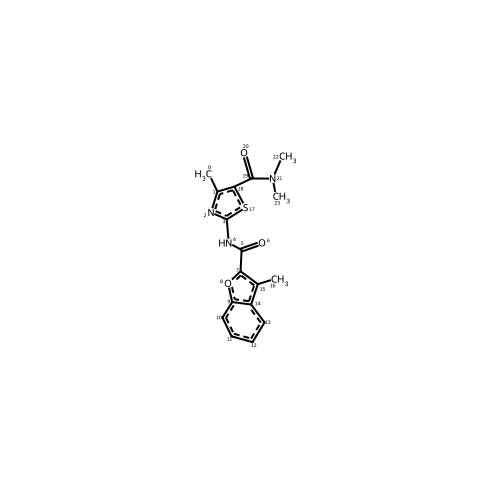 Cc1nc(NC(=O)c2oc3ccccc3c2C)sc1C(=O)N(C)C